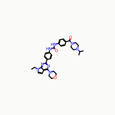 CCn1ccc2c(N3CCOCC3)nc(-c3ccc(NC(=O)Nc4ccc(C(=O)N5CCN(C(C)C)CC5)cc4)cc3)nc21